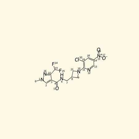 Cn1cc(C(=O)NCC2CN(c3ncc([N+](=O)[O-])cc3Cl)C2)c(C(F)F)n1